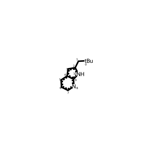 CC(C)(C)Cc1cc2cccnc2[nH]1